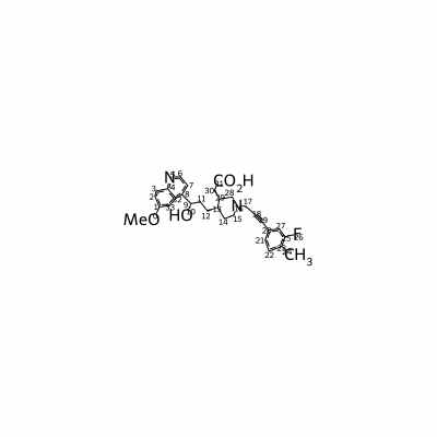 COc1ccc2nccc([C@H](O)CC[C@@H]3CCN(CC#Cc4ccc(C)c(F)c4)C[C@@H]3CC(=O)O)c2c1